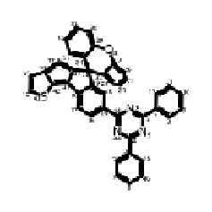 c1ccc(-c2nc(-c3ccccc3)nc(-c3ccc4c(c3)C3(c5ccccc5Oc5ccccc53)c3ccc5ccsc5c3-4)n2)cc1